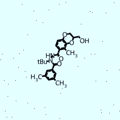 Cc1cc(C)cc(C(=O)N(NC(=O)c2ccc3c(c2C)OC(CO)CO3)C(C)(C)C)c1